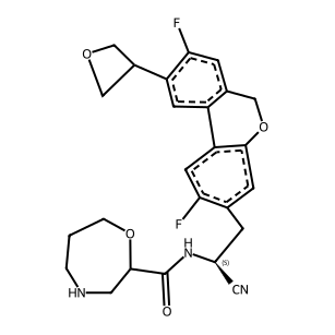 N#C[C@H](Cc1cc2c(cc1F)-c1cc(C3COC3)c(F)cc1CO2)NC(=O)C1CNCCCO1